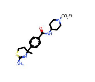 CCOC(=O)N1CCC(NC(=O)c2ccc(C3(C)CCSC(N)=N3)cc2)CC1